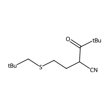 CC(C)(C)CSCCC(C#N)C(=O)C(C)(C)C